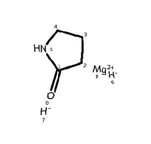 O=C1CCCN1.[H-].[H-].[Mg+2]